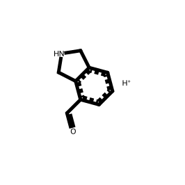 O=Cc1cccc2c1CNC2.[H+]